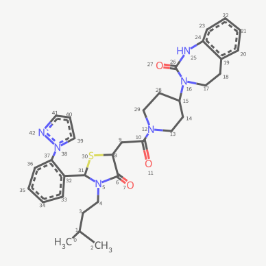 CC(C)CCN1C(=O)C(CC(=O)N2CCC(N3CCc4ccccc4NC3=O)CC2)SC1c1ccccc1-n1cccn1